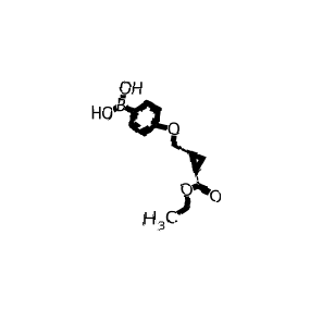 CCOC(=O)[C@H]1C[C@@H]1COc1ccc(B(O)O)cc1